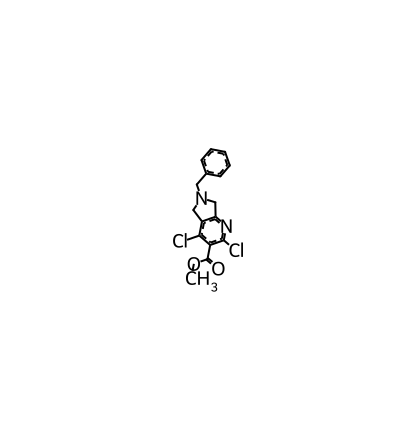 COC(=O)c1c(Cl)nc2c(c1Cl)CN(Cc1ccccc1)C2